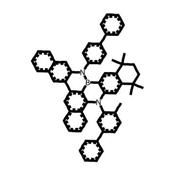 Cc1ccc(-c2ccccc2)cc1N1c2cc3c(cc2B2c4c(cc5ccccc5c41)-c1cc4ccccc4cc1N2c1ccc(-c2ccccc2)cc1)C(C)(C)CCC3(C)C